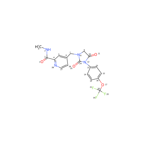 CNC(=O)c1cc(CN2CC(=O)N(c3ccc(OC(F)(F)F)cc3)C2=O)ccn1